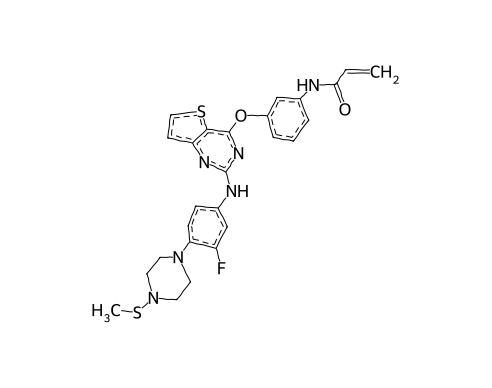 C=CC(=O)Nc1cccc(Oc2nc(Nc3ccc(N4CCN(SC)CC4)c(F)c3)nc3ccsc23)c1